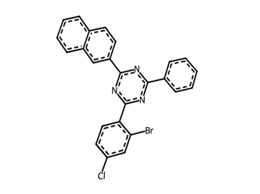 Clc1ccc(-c2nc(-c3ccccc3)nc(-c3ccc4ccccc4c3)n2)c(Br)c1